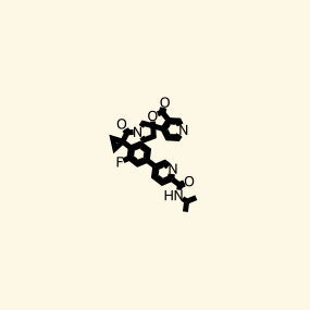 CC(C)NC(=O)c1ccc(-c2ccc(C3(C(=O)N4CCC5(C4)OC(=O)c4cnccc45)CC3)c(F)c2)cn1